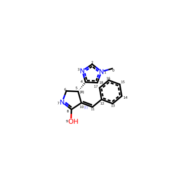 Cn1cnc([C@H]2CN=C(O)/C2=C/c2ccccc2)c1